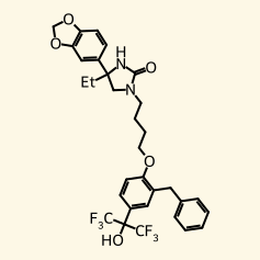 CCC1(c2ccc3c(c2)OCO3)CN(CCCCOc2ccc(C(O)(C(F)(F)F)C(F)(F)F)cc2Cc2ccccc2)C(=O)N1